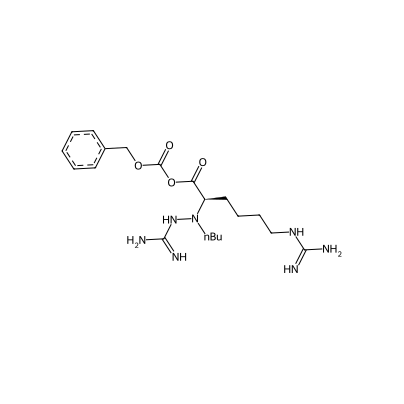 CCCCN(NC(=N)N)[C@H](CCCCNC(=N)N)C(=O)OC(=O)OCc1ccccc1